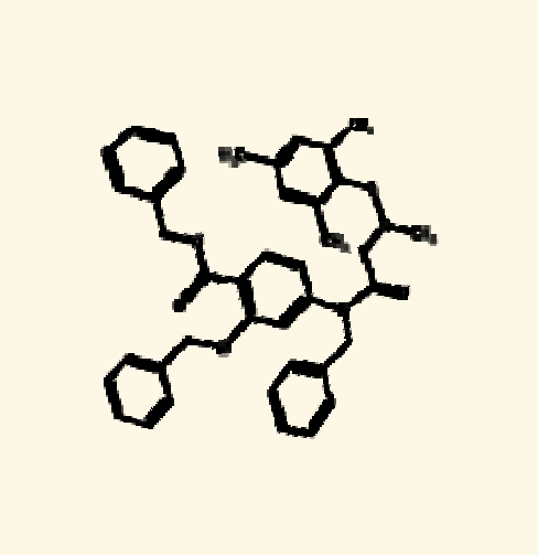 Cc1cc(C)c(SN(C)CC(=O)N(Cc2ccccc2)c2ccc(C(=O)OCc3ccccc3)c(OCc3ccccc3)c2)c(C)c1